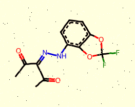 CC(=O)C(=NNc1cccc2c1OC(F)(F)O2)C(C)=O